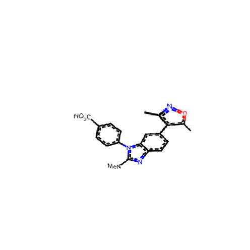 CNc1nc2ccc(-c3c(C)noc3C)cc2n1-c1ccc(C(=O)O)cc1